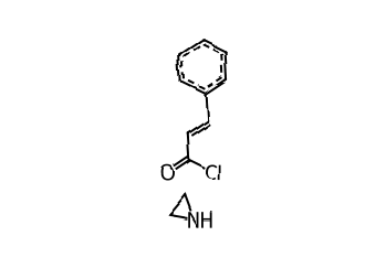 C1CN1.O=C(Cl)C=Cc1ccccc1